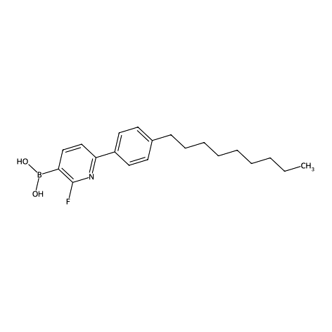 CCCCCCCCCc1ccc(-c2ccc(B(O)O)c(F)n2)cc1